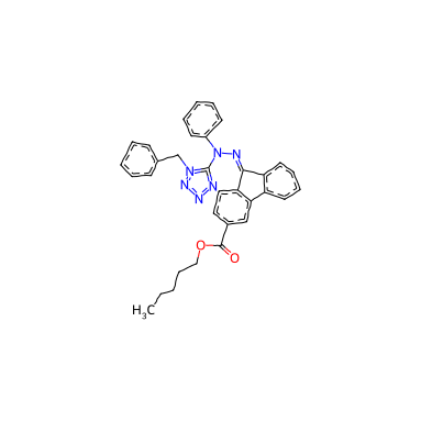 CCCCCOC(=O)c1ccc2c(c1)-c1ccccc1/C2=N/N(c1ccccc1)c1nnnn1Cc1ccccc1